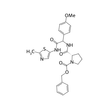 COc1ccc(C(NC(=O)[C@@H]2CCCN2C(=O)OCc2ccccc2)C(=O)Nc2cnc(C)s2)cc1